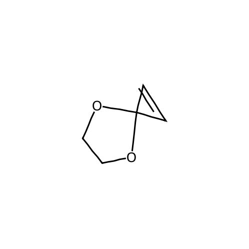 C1=CC12OCCO2